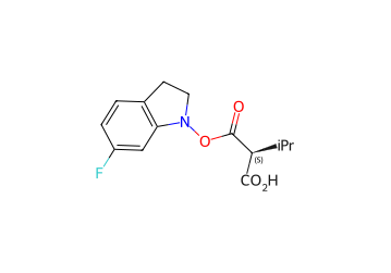 CC(C)[C@@H](C(=O)O)C(=O)ON1CCc2ccc(F)cc21